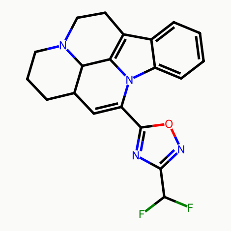 FC(F)c1noc(C2=CC3CCCN4CCc5c(n2c2ccccc52)C34)n1